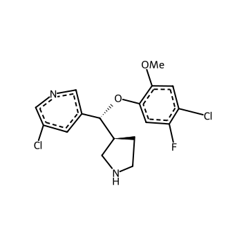 COc1cc(Cl)c(F)cc1O[C@@H](c1cncc(Cl)c1)[C@H]1CCNC1